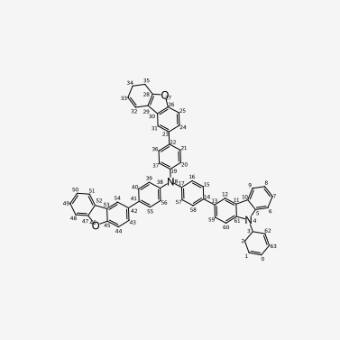 C1=CCC(n2c3ccccc3c3cc(-c4ccc(N(c5ccc(-c6ccc7oc8c(c7c6)C=CCC8)cc5)c5ccc(-c6ccc7oc8ccccc8c7c6)cc5)cc4)ccc32)C=C1